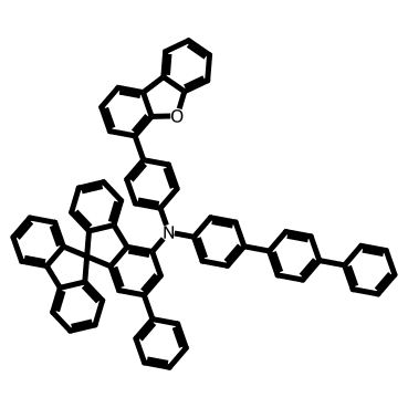 c1ccc(-c2ccc(-c3ccc(N(c4ccc(-c5cccc6c5oc5ccccc56)cc4)c4cc(-c5ccccc5)cc5c4-c4ccccc4C54c5ccccc5-c5ccccc54)cc3)cc2)cc1